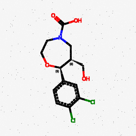 O=C(O)N1CCO[C@H](c2ccc(Cl)c(Cl)c2)[C@@H](CO)C1